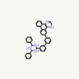 C1=CC(C2NC(c3ccccc3)NC(c3cccc(-c4cccc(C5C=c6c7c(c8ccccc8c6=CC5)N=CCN7)c4)c3)N2)=CCC1